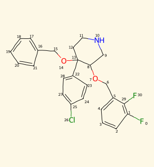 Fc1cccc(COC2CNCCC2(OCc2ccccc2)c2ccc(Cl)cc2)c1F